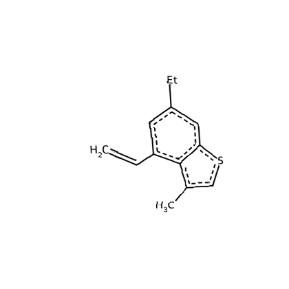 C=Cc1cc(CC)cc2scc(C)c12